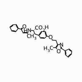 C/C(=C/C(=O)c1ccccc1)N[C@@H](Cc1ccc(OCCc2nc(-c3ccccc3)oc2C)cc1)C(=O)O